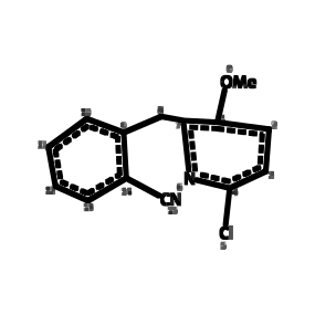 COc1ccc(Cl)nc1Cc1ccccc1C#N